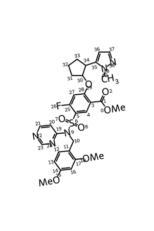 COC(=O)c1cc(S(=O)(=O)N(Cc2ccc(OC)cc2OC)c2ccncn2)c(F)cc1OC1CCCC1c1ccnn1C